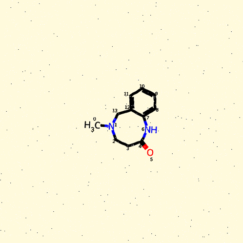 CN1CCC(=O)Nc2ccccc2C1